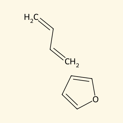 C=CC=C.c1ccoc1